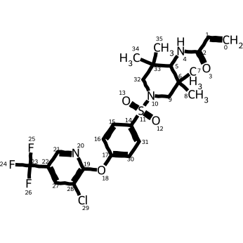 C=CC(=O)NC1C(C)(C)CN(S(=O)(=O)c2ccc(Oc3ncc(C(F)(F)F)cc3Cl)cc2)CC1(C)C